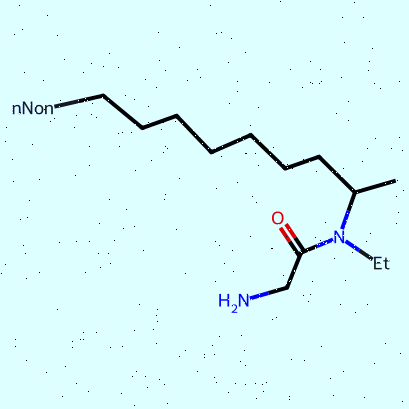 CCCCCCCCCCCCCCCCC(C)N(CC)C(=O)CN